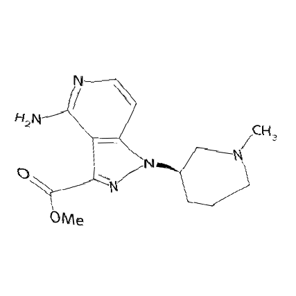 COC(=O)c1nn([C@@H]2CCCN(C)C2)c2ccnc(N)c12